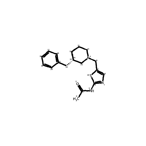 CC(=O)Nc1ncc(CN2CCC[C@@H](Cc3ccccc3)C2)s1